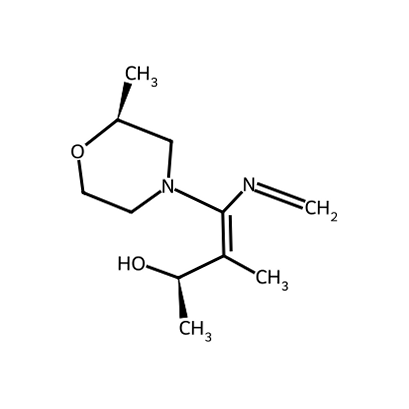 C=N/C(=C(\C)[C@@H](C)O)N1CCO[C@@H](C)C1